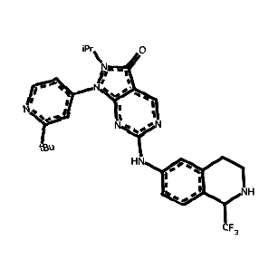 CC(C)n1c(=O)c2cnc(Nc3ccc4c(c3)CCNC4C(F)(F)F)nc2n1-c1ccnc(C(C)(C)C)c1